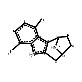 Cc1ccc(F)c2[nH]c3c(c12)C1CCC(C3)N1